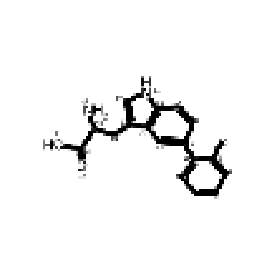 Cc1ccccc1-c1ccc2[nH]cc(CC(N)C(=O)O)c2c1